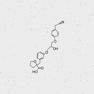 N#CCc1ccc(OCC(O)COc2cccc(CC3(C(=O)O)CCCO3)c2)cc1